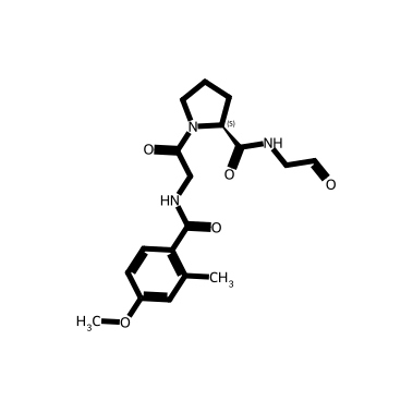 COc1ccc(C(=O)NCC(=O)N2CCC[C@H]2C(=O)NCC=O)c(C)c1